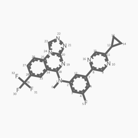 CN(c1cc(F)cc(-c2cnc(C3CC3)cn2)c1)c1nc2nncn2c2ccc(C(F)(F)F)cc12